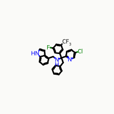 Fc1cc(C(F)(F)F)cc(C(Cc2ccccc2)(NCc2cccc3[nH]ccc23)c2ccc(Cl)cn2)c1